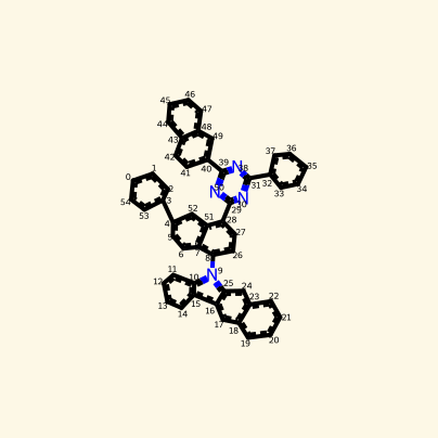 c1ccc(-c2ccc3c(-n4c5ccccc5c5cc6ccccc6cc54)ccc(-c4nc(-c5ccccc5)nc(-c5ccc6ccccc6c5)n4)c3c2)cc1